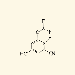 N#Cc1cc(O)cc(OC(F)F)c1F